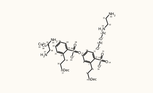 CC(=O)[O-].CC(=O)[O-].CCCCCCCCCCCCc1ccccc1S(=O)(=O)[O-].CCCCCCCCCCCCc1ccccc1S(=O)(=O)[O-].NCCN.NCCN.[Cu+2].[Cu+2]